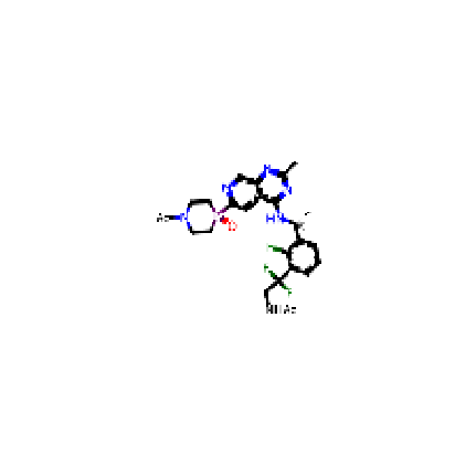 CC(=O)NCC(F)(F)c1cccc([C@@H](C)Nc2nc(C)nc3cnc(P4(=O)CCN(C(C)=O)CC4)cc23)c1F